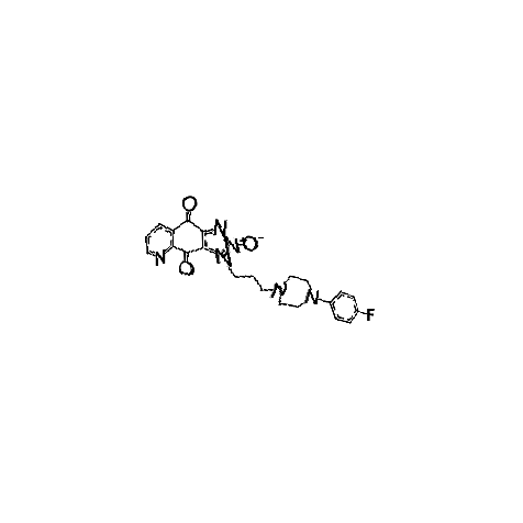 O=C1c2cccnc2C(=O)c2c1n[n+]([O-])n2CCCN1CCN(c2ccc(F)cc2)CC1